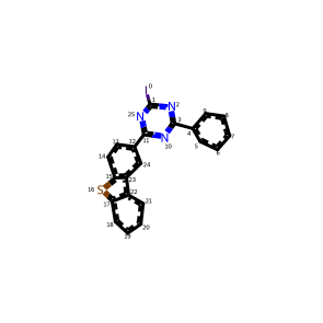 Ic1nc(-c2ccccc2)nc(-c2ccc3sc4ccccc4c3c2)n1